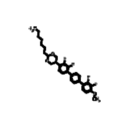 CCCCCCCC1OCC(c2ccc(-c3ccc(-c4ccc(OC)c(F)c4F)cc3)c(F)c2F)CO1